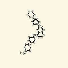 CN1CCN(c2ccc(Nc3ccnc4ccc(-c5ccc(C6CCCCC6)cc5)cc34)cc2)CC1